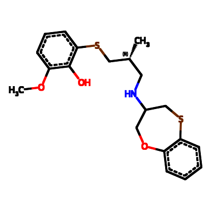 COc1cccc(SC[C@H](C)CNC2COc3ccccc3SC2)c1O